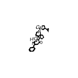 O=C(N1CCC(C2CC2)C1)N1CCC(O)(Cn2cnc(-c3ccccc3)cc2=O)C2(CCCC2)C1